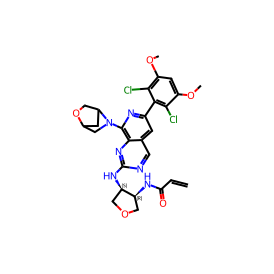 C=CC(=O)N[C@H]1COC[C@H]1Nc1ncc2cc(-c3c(Cl)c(OC)cc(OC)c3Cl)nc(N3CC4CC3CO4)c2n1